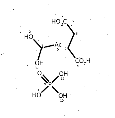 CC(=O)C(O)O.O=C(O)CCC(=O)O.O=P(O)(O)O